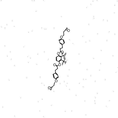 O=C(CCc1ccc(OCCC2CO2)cc1)Oc1ccc(OC(=O)CCc2ccc(OCCC3CO3)cc2)c(C(F)(F)F)c1C(F)(F)F